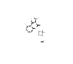 CC(=O)OC1CC(n2c(=O)c3c(C)onc3c3c(Cl)cccc32)C1(C)C